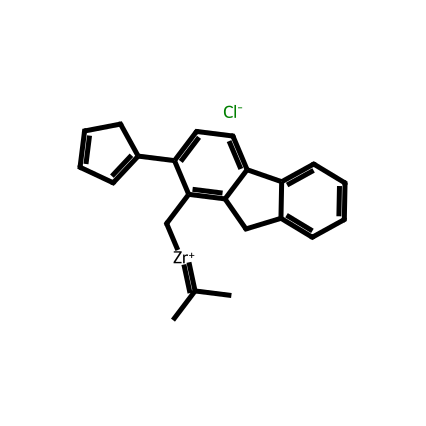 C[C](C)=[Zr+][CH2]c1c(C2=CC=CC2)ccc2c1Cc1ccccc1-2.[Cl-]